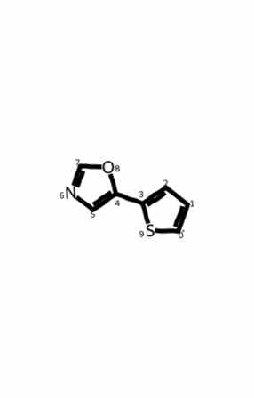 [c]1ccc(-c2cnco2)s1